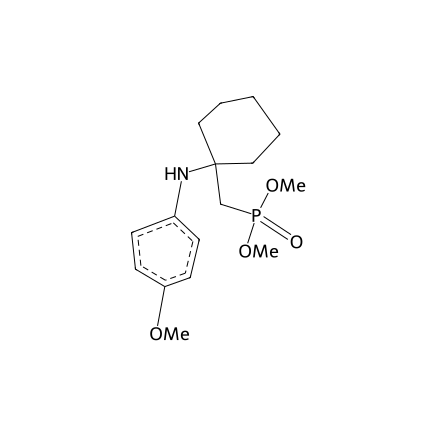 COc1ccc(NC2(CP(=O)(OC)OC)CCCCC2)cc1